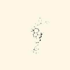 CC[C@](C)(CC[C@]1(C)CC[C@]2(C)C(=CC(=O)[C@@H]3[C@@]4(C)CC[C@H](C(=O)N(C)CC(=O)OC)C(C)(C)[C@@H]4CC[C@]32C)C1)C(=O)O